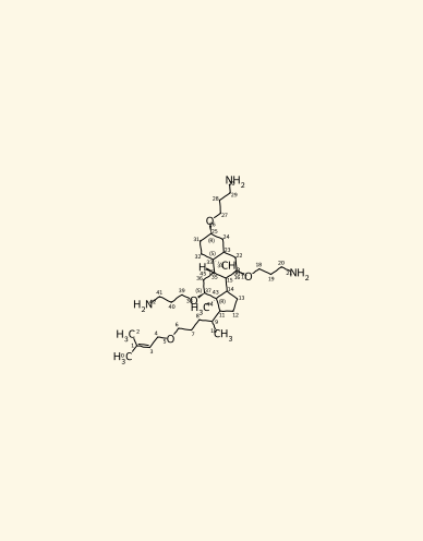 CC(C)=CCOCCCC(C)C1CCC2C3[C@H](OCCCN)CC4C[C@H](OCCCN)CC[C@]4(C)[C@H]3C[C@H](OCCCN)[C@]12C